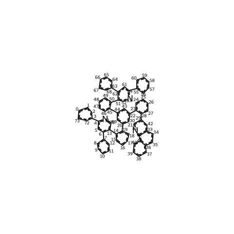 c1ccc(-c2cc(-c3ccccc3)c(-c3ccccc3-c3cc(-c4ccccc4-c4cnc5c(ccc6ccccc65)c4)cc(-c4ccccc4-c4cnc(-c5ccccc5)cc4-c4ccccc4)c3)cn2)cc1